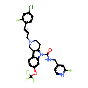 O=C(NCc1ccnc(F)c1)n1c2c(c3ccc(OC(F)(F)F)cc31)CN(C/C=C/c1ccc(Cl)cc1F)CC2